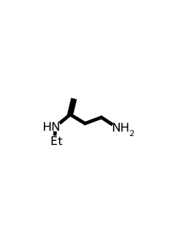 C=C(CCN)NCC